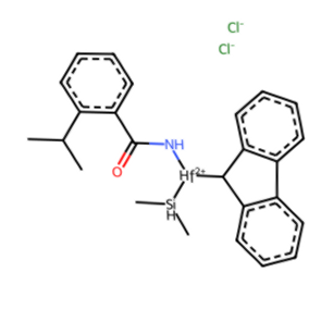 CC(C)c1ccccc1C(=O)[NH][Hf+2]([CH]1c2ccccc2-c2ccccc21)[SiH](C)C.[Cl-].[Cl-]